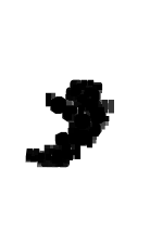 CCC(NC(=O)OC)C(=O)N1CCC[C@H]1c1nc2c([nH]1)C=C(F)C([C@H]1CC[C@H](c3cc4nc([C@@H]5CCCN5C(=O)[C@@H](NC(=O)OC)[C@@H](C)OC)[nH]c4cc3F)N1c1cc(F)c(N3CCC(c4ccc(F)cc4)CC3)c(F)c1)C2